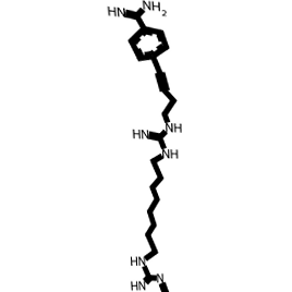 C=NC(=N)NCCCCCCCCNC(=N)NCCC#Cc1ccc(C(=N)N)cc1